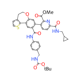 COC(=O)c1nc(C(=O)NCC2CC2)ccc1-c1cc2c(cc1C(=O)Nc1ccc(CNC(=O)OC(C)(C)C)cc1)-c1sccc1CCO2